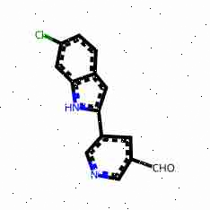 O=Cc1cncc(-c2cc3ccc(Cl)cc3[nH]2)c1